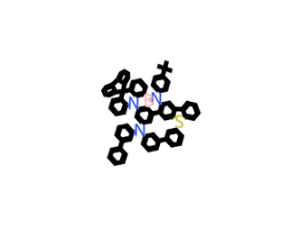 CC(C)(C)c1ccc(N2B3c4cccc5c4N(c4ccccc4C54c5ccccc5-c5ccccc54)c4cc(N(c5cccc(-c6ccccc6)c5)c5cccc(-c6ccccc6)c5)cc(c43)-c3cc4sc5ccccc5c4cc32)cc1